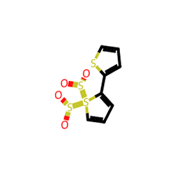 O=S(=O)=S1(=S(=O)=O)C=CC=C1c1cccs1